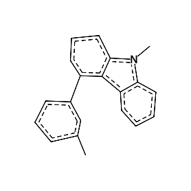 Cc1cccc(-c2cccc3c2c2ccccc2n3C)c1